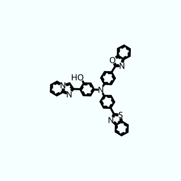 Oc1cc(N(c2ccc(-c3nc4ccccc4o3)cc2)c2ccc(-c3nc4ccccc4s3)cc2)ccc1-c1cn2ccccc2n1